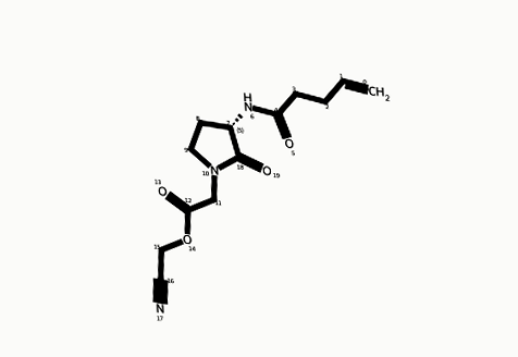 C=CCCC(=O)N[C@H]1CCN(CC(=O)OCC#N)C1=O